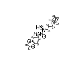 O=C(Nc1ccc2c(c1)OCCO2)N(S)CCCn1ccnc1